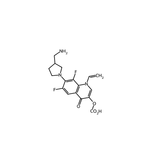 C=Cn1cc(OC(=O)O)c(=O)c2cc(F)c(N3CCC(CN)C3)c(F)c21